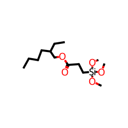 CCCCC(CC)COC(=O)CC[Si](OC)(OC)OC